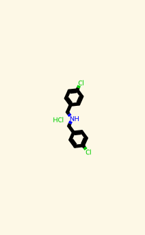 Cl.Clc1ccc(CNCc2ccc(Cl)cc2)cc1